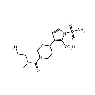 CN(CCN)C(=O)N1CCC(c2ccn(S(N)(=O)=O)c2C(=O)O)CC1